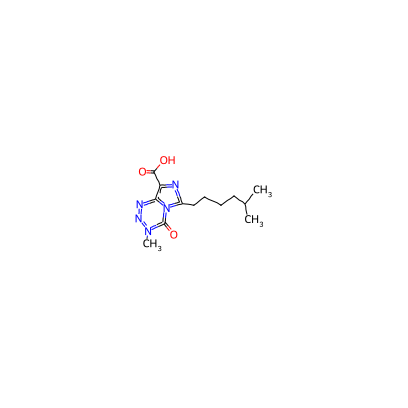 CC(C)CCCCc1nc(C(=O)O)c2nnn(C)c(=O)n12